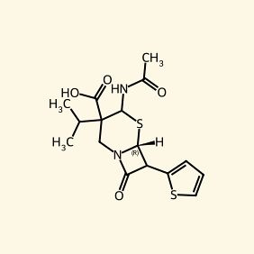 CC(=O)NC1S[C@@H]2C(c3cccs3)C(=O)N2CC1(C(=O)O)C(C)C